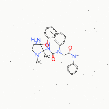 CC(=O)N1CCC(N)(Oc2ccccc2)C1(NC(=O)N(CC(=O)N(C)c1ccccc1)c1cccc(C)c1)C(C)=O